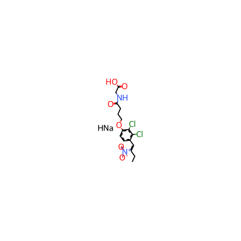 CCC(=Cc1ccc(OCCCC(=O)NCC(=O)O)c(Cl)c1Cl)[N+](=O)[O-].[NaH]